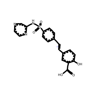 O=C(O)c1cc(/C=C/c2ccc(S(=O)(=O)Nc3cnccn3)cc2)ccc1O